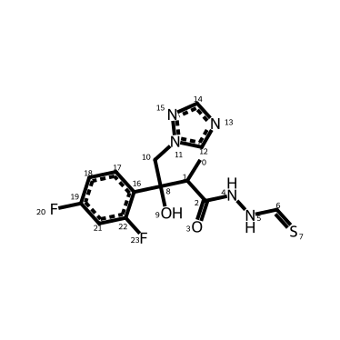 CC(C(=O)NNC=S)C(O)(Cn1cncn1)c1ccc(F)cc1F